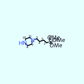 CO[Si](CCCCN1CCNCC1)(OC)OC